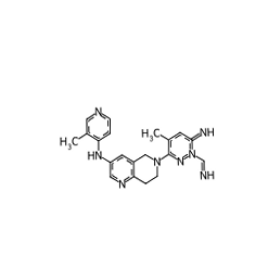 Cc1cnccc1Nc1cnc2c(c1)CN(c1nn(C=N)c(=N)cc1C)CC2